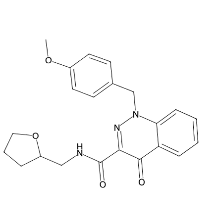 COc1ccc(Cn2nc(C(=O)NCC3CCCO3)c(=O)c3ccccc32)cc1